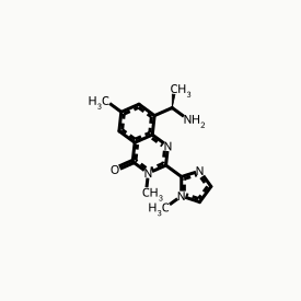 Cc1cc([C@@H](C)N)c2nc(-c3nccn3C)n(C)c(=O)c2c1